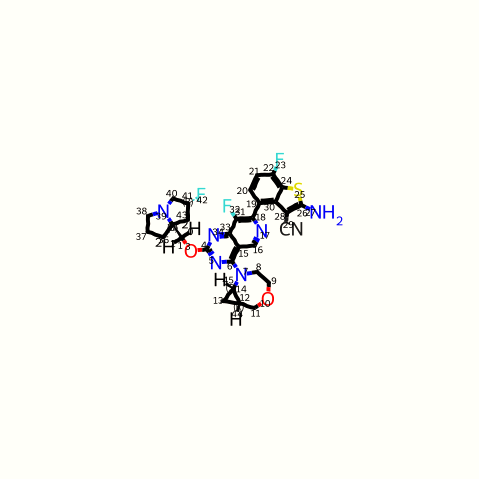 [2H]C([2H])(Oc1nc(N2CCOC[C@@H]3C[C@@H]32)c2cnc(-c3ccc(F)c4sc(N)c(C#N)c34)c(F)c2n1)[C@@]12CCCN1C[C@H](F)C2